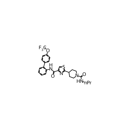 CCCNC(=O)N1CCC(c2nc(C(=O)Nc3ccccc3-c3ccc(OC(F)(F)F)cc3)cs2)CC1